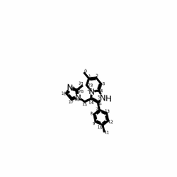 CC1=CC=C2NC(c3ccc(C)cc3)=C(Cn3ccnc3C)N2C1